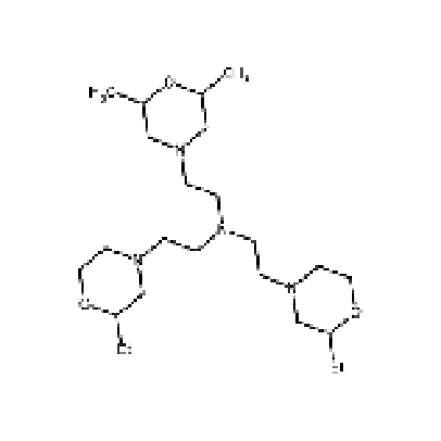 CCC1CN(CCN(CCN2CC(C)OC(C)C2)CCN2CCOC(CC)C2)CCO1